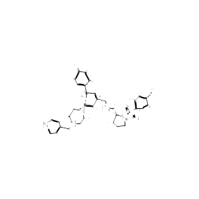 O=C(NCc1cc(-c2ccc(C(F)(F)F)cc2)nc(N2CCN(Cc3ccncc3)CC2)c1)[C@@H]1CCCN1S(=O)(=O)c1ccc(F)cc1